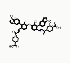 Cn1ccc2cc(-c3c(/C=C/C(=O)N4CCC(C(=O)O)CC4)ccc(Sc4ccc(/C=C/C(=O)N5CCC(C(=O)O)CC5)c(-c5ccc6c(ccn6C)c5)c4Cl)c3Cl)ccc21